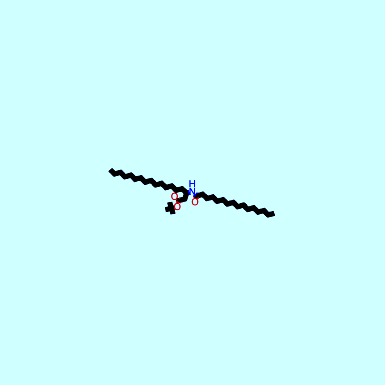 CCCCCCCCCCCCCCCC(=O)NC(CCCCCCCCCCCCCCC)CC(=O)OC(C)(C)C